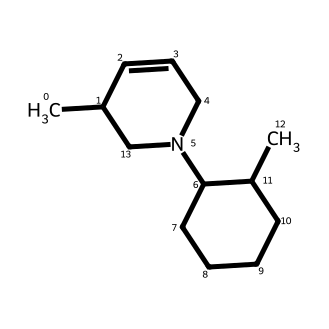 CC1C=CCN(C2CCCCC2C)C1